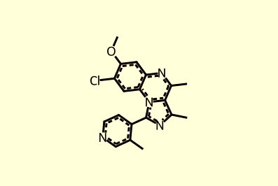 COc1cc2nc(C)c3c(C)nc(-c4ccncc4C)n3c2cc1Cl